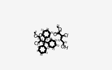 COC(=O)C(Cl)C(c1ccccc1)(c1ccccc1)c1ccccc1.COC(=O)C(Cl)CCO